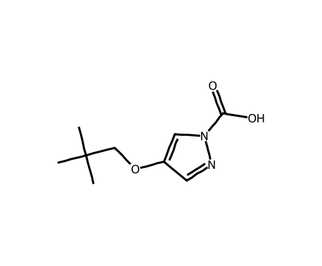 CC(C)(C)COc1cnn(C(=O)O)c1